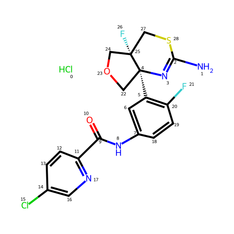 Cl.NC1=N[C@@]2(c3cc(NC(=O)c4ccc(Cl)cn4)ccc3F)COC[C@@]2(F)CS1